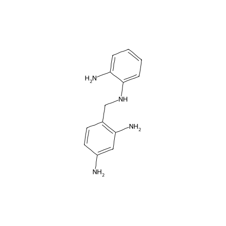 Nc1ccc(CNc2ccccc2N)c(N)c1